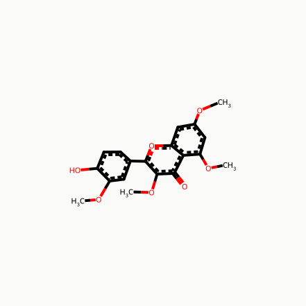 COc1cc(OC)c2c(=O)c(OC)c(-c3ccc(O)c(OC)c3)oc2c1